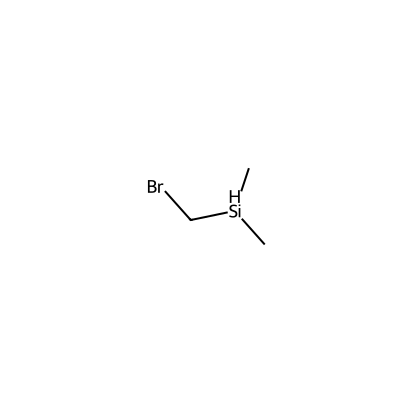 C[SiH](C)CBr